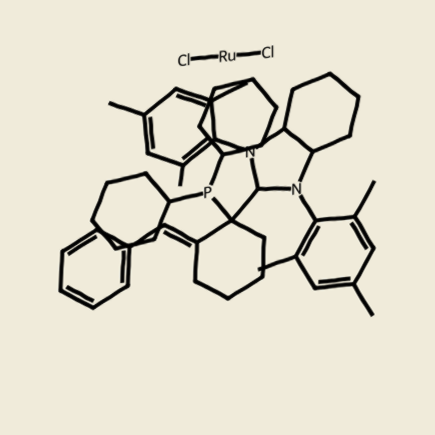 Cc1cc(C)c(N2C3CCCCC3N(c3c(C)cc(C)cc3C)C2C2(P(C3CCCCC3)C3CCCCC3)CCCCC2=Cc2ccccc2)c(C)c1.[Cl][Ru][Cl]